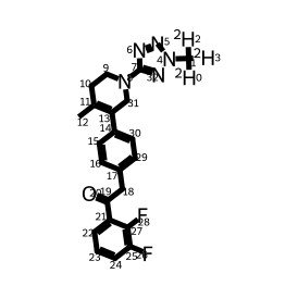 [2H]C([2H])([2H])n1nnc(N2CCC(C)=C(c3ccc(CC(=O)c4cccc(F)c4F)cc3)C2)n1